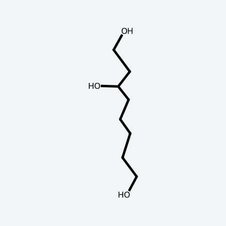 OCCCCCC(O)CCO